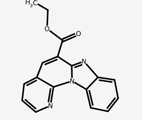 CCOC(=O)c1cc2cccnc2n2c1nc1ccccc12